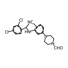 CC(Nc1cc(N2CCN(C=O)CC2)ccc1C#N)c1ccc(Cl)cc1Cl